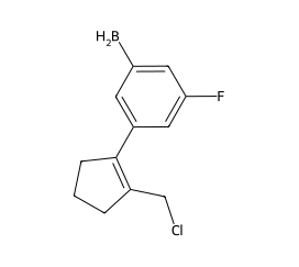 Bc1cc(F)cc(C2=C(CCl)CCC2)c1